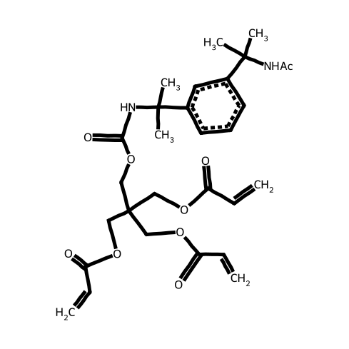 C=CC(=O)OCC(COC(=O)C=C)(COC(=O)C=C)COC(=O)NC(C)(C)c1cccc(C(C)(C)NC(C)=O)c1